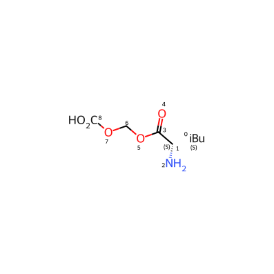 CC[C@H](C)[C@H](N)C(=O)OCOC(=O)O